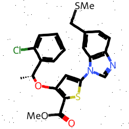 COC(=O)c1sc(-n2cnc3ccc(CSC)cc32)cc1O[C@H](C)c1ccccc1Cl